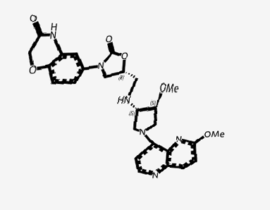 COc1ccc2nccc(N3C[C@H](NC[C@@H]4CN(c5ccc6c(c5)NC(=O)CO6)C(=O)O4)[C@@H](OC)C3)c2n1